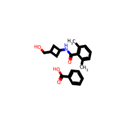 Cc1cccc(C)c1C(=O)NC1CC(CO)C1.O=C(O)c1ccccc1